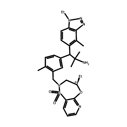 CC[C@@H]1CN(Cc2cc(C(c3ccc4c(nnn4CC)c3C)C(C)(C)N)ccc2C)S(=O)(=O)c2cccnc2O1